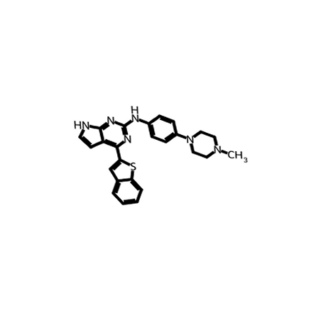 CN1CCN(c2ccc(Nc3nc(-c4cc5ccccc5s4)c4cc[nH]c4n3)cc2)CC1